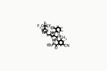 Cc1cc(C#N)cc(C(=O)NC(C)(C)C)c1NC(=O)c1cc(Cn2nnc(C(F)(C(F)(F)F)C(F)(F)F)n2)nn1-c1ncccc1Cl